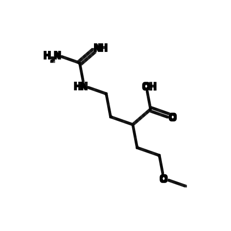 COCCC(CCNC(=N)N)C(=O)O